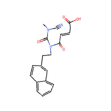 CN(C#N)C(=O)N(CCc1ccc2ccccc2c1)C(=O)C=CC(=O)O